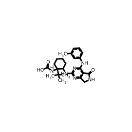 Cc1cccc(Nc2nc(NC3CCCCC3(NC(=O)O)C(C)(C)C)nc3c2C(=O)NC3)c1